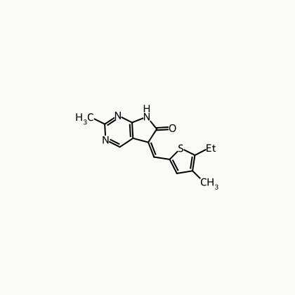 CCc1sc(C=C2C(=O)Nc3nc(C)ncc32)cc1C